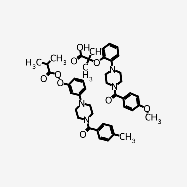 COc1ccc(C(=O)N2CCN(c3ccccc3OC(C)(C)C(=O)O)CC2)cc1.Cc1ccc(C(=O)N2CCN(c3cccc(OOC(=O)C(C)C)c3)CC2)cc1